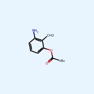 CCCCC(=O)Oc1cccc(N)c1C=O